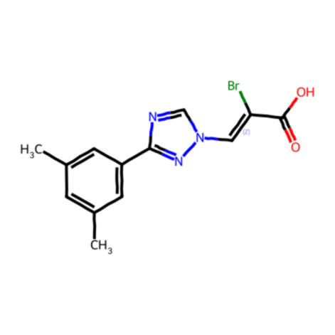 Cc1cc(C)cc(-c2ncn(/C=C(\Br)C(=O)O)n2)c1